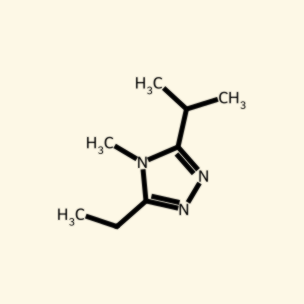 CCc1nnc(C(C)C)n1C